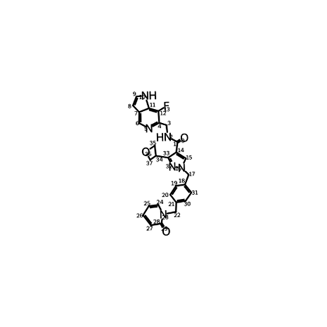 O=C(NCc1ncc2cc[nH]c2c1F)c1cn(Cc2ccc(Cn3ccccc3=O)cc2)nc1C1COC1